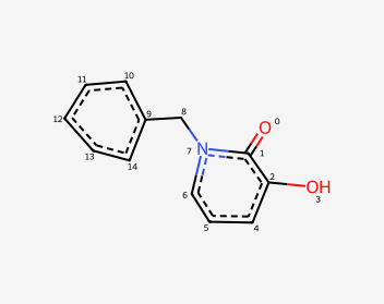 O=c1c(O)cccn1Cc1ccccc1